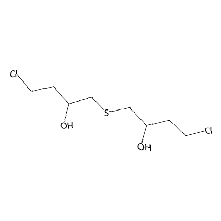 OC(CCCl)CSCC(O)CCCl